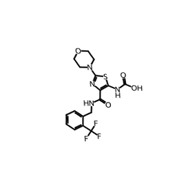 O=C(O)Nc1sc(N2CCOCC2)nc1C(=O)NCc1ccccc1C(F)(F)F